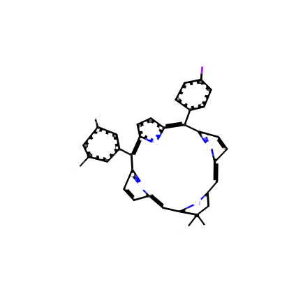 CC(C)(C)c1cc(/C2=c3\cc/c([nH]3)=C(\c3ccc(I)cc3)C3=N/C(=C\C4CC(C)(C)C(/C=C5/C=CC2=N5)N4)C=C3)cc(C(C)(C)C)c1